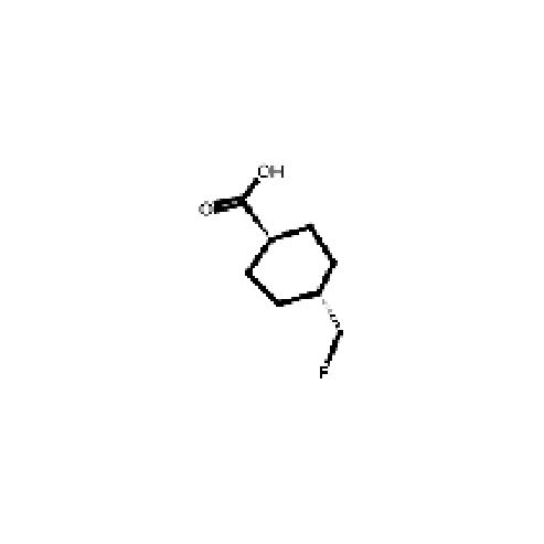 O=C(O)[C@H]1CC[C@H](CF)CC1